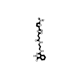 O=C(CCc1nc(-c2ccc([N+](=O)[O-])o2)no1)NCCCNc1n[nH]c(=O)c2ccccc12